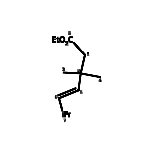 CCOC(=O)CC(C)(C)C=CC(C)C